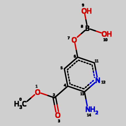 COC(=O)c1cc(OB(O)O)cnc1N